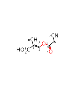 CC(=COC(=O)CC#N)C(=O)O